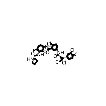 O=C(Nc1ccc(F)c(NC(=O)[C@@H]2CCCN2)c1F)c1cc(NC(=O)[C@H]2[C@H](c3ccc(Cl)c(Cl)c3)C2(Cl)Cl)ccc1Cl